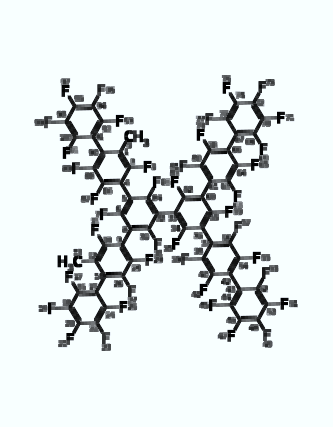 Cc1c(F)c(-c2c(F)c(-c3c(F)c(C)c(-c4c(F)c(F)c(F)c(F)c4F)c(F)c3F)c(F)c(-c3c(F)c(-c4c(F)c(F)c(-c5c(F)c(F)c(F)c(F)c5F)c(F)c4F)c(F)c(-c4c(F)c(F)c(-c5c(F)c(F)c(F)c(F)c5F)c(F)c4F)c3F)c2F)c(F)c(F)c1-c1c(F)c(F)c(F)c(F)c1F